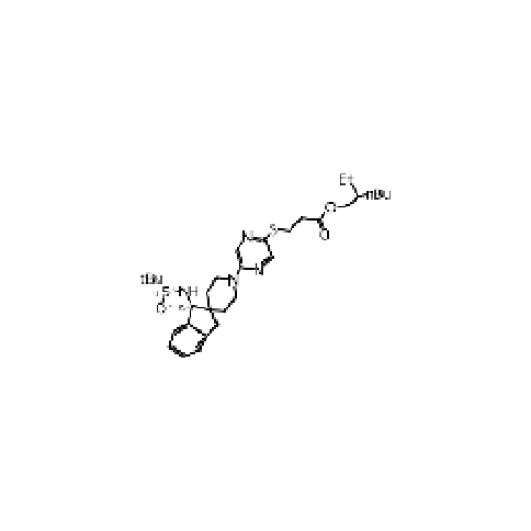 CCCCC(CC)COC(=O)CCSc1cnc(N2CCC3(CC2)Cc2ccccc2[C@H]3N[S@+]([O-])C(C)(C)C)cn1